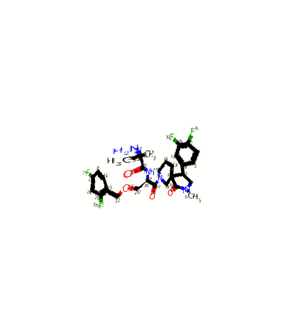 CN1CC(c2ccc(F)c(F)c2)C2(CCCN(C(=O)[C@@H](COCc3ccc(F)cc3F)NC(=O)C(C)(C)N)C2)C1=O